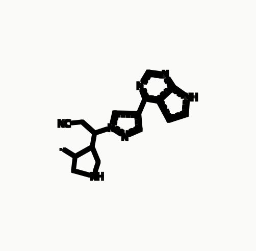 [CH2]C1CNCC1C(CC#N)n1cc(-c2ncnc3[nH]ccc23)cn1